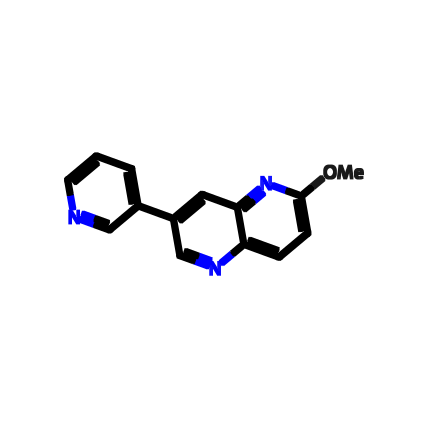 COc1ccc2ncc(-c3cccnc3)cc2n1